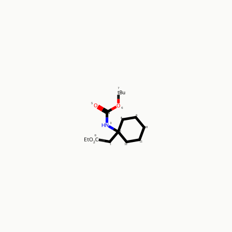 CCOC(=O)CC1(NC(=O)OC(C)(C)C)CCCCC1